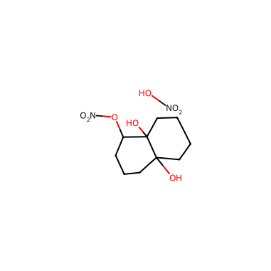 O=[N+]([O-])O.O=[N+]([O-])OC1CCCC2(O)CCCCC12O